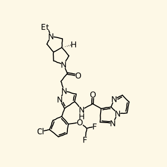 CCN1CC2CN(C(=O)Cn3cc(NC(=O)c4cnn5cccnc45)c(-c4cc(Cl)ccc4OC(F)F)n3)C[C@@H]2C1